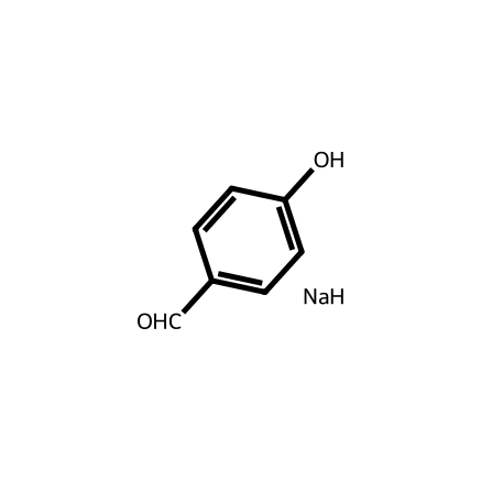 O=Cc1ccc(O)cc1.[NaH]